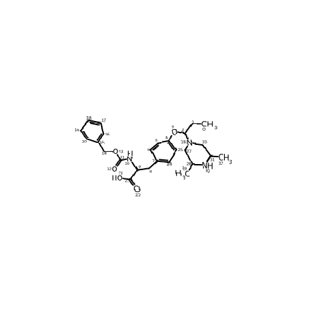 CCC(Oc1ccc(CC(NC(=O)OCc2ccccc2)C(=O)O)cc1)N1CC(C)NC(C)C1